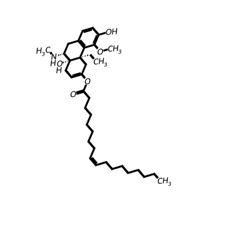 CCCCCCCC/C=C\CCCCCCCC(=O)OC1=CC[C@@]2(O)[C@H](NC)Cc3ccc(O)c(OC)c3[C@@]2(CC)C1